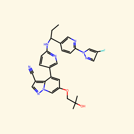 CCC(Nc1ccc(-c2cc(OCC(C)(C)O)cn3ncc(C#N)c23)cn1)c1ccc(-n2cc(F)cn2)nc1